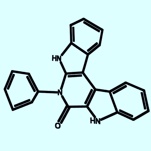 O=c1c2[nH]c3ccccc3c2c2c3ccccc3[nH]c2n1-c1ccccc1